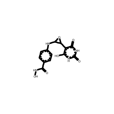 O=C(NO)c1ccc(NC2OC2c2c(O)[nH]c(=O)[nH]c2=O)cc1